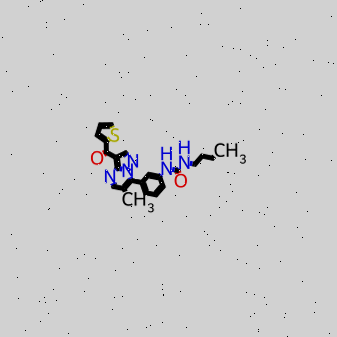 CCCCNC(=O)Nc1cccc(-c2c(C)cnc3c(C(=O)c4cccs4)cnn23)c1